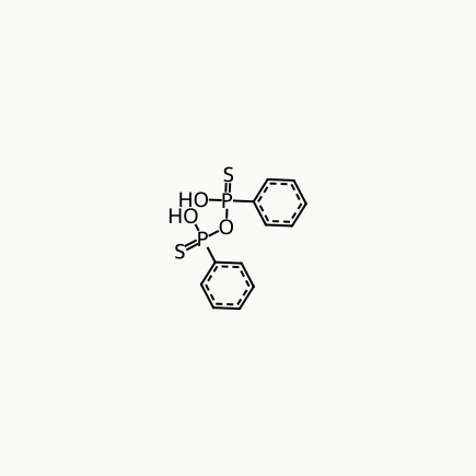 OP(=S)(OP(O)(=S)c1ccccc1)c1ccccc1